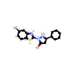 O=c1cc(-c2ccccc2)[nH]n1-c1nc2cc(Cl)ccc2s1